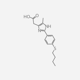 CCCCSc1ccc(-c2nc(CC(=O)O)c(C)[nH]2)cc1